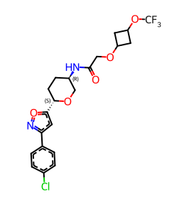 O=C(COC1CC(OC(F)(F)F)C1)N[C@@H]1CC[C@@H](c2cc(-c3ccc(Cl)cc3)no2)OC1